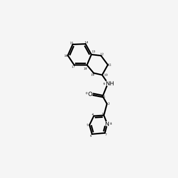 O=C(Cc1ccccn1)NC1CCc2ccccc2C1